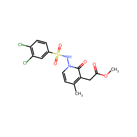 COC(=O)Cc1c(C)ccn(NS(=O)(=O)c2ccc(Cl)c(Cl)c2)c1=O